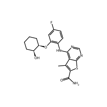 Cc1c(C(N)=O)sc2ncnc(Nc3ccc(F)cc3O[C@@H]3CCCC[C@@H]3O)c12